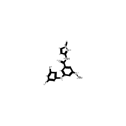 CC[C@H](C)Oc1cc(Oc2cc(F)cc(F)c2)cc(C(=O)Nc2ccn(C)n2)c1